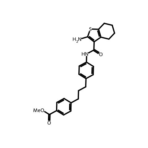 COC(=O)c1ccc(CCCc2ccc(NC(=O)c3c(N)sc4c3CCCC4)cc2)cc1